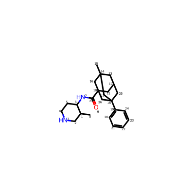 CC1CNCCC1NC(=O)C12CC3CC(C)(C1)CC(c1ccccc1)(C3)C2